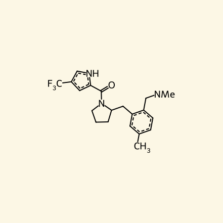 CNCc1ccc(C)cc1CC1CCCN1C(=O)c1cc(C(F)(F)F)c[nH]1